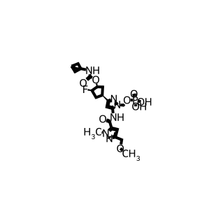 COCc1cc(C(=O)Nc2cc([C@H]3C[C@@H](F)[C@@H](OC(=O)NC45CC(C4)C5)C3)nn2COP(=O)(O)O)n(C)n1